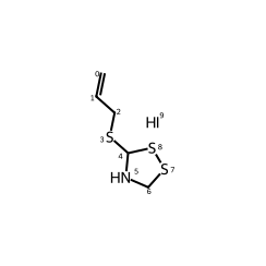 C=CCSC1NCSS1.I